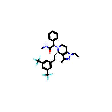 CCn1nc(C)c2c1CCN([C@@H](C(=O)NC)c1ccccc1)[C@H]2CCc1cc(C(F)(F)F)cc(C(F)(F)F)c1